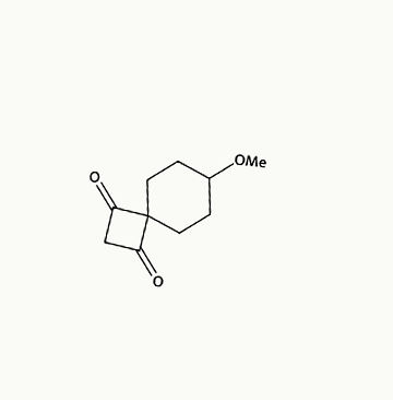 COC1CCC2(CC1)C(=O)CC2=O